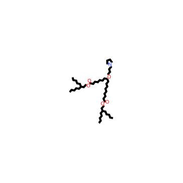 CCCCCC(CCCCC)CCOC(=O)CCCCCCCCC(CCCCCCC(=O)OCCC(CCCCC)CCCCC)OCCCCN1CCCC1